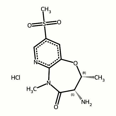 C[C@H]1Oc2cc(S(C)(=O)=O)cnc2N(C)C(=O)[C@H]1N.Cl